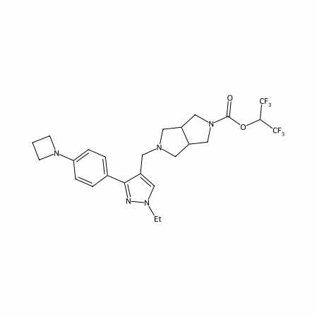 CCn1cc(CN2CC3CN(C(=O)OC(C(F)(F)F)C(F)(F)F)CC3C2)c(-c2ccc(N3CCC3)cc2)n1